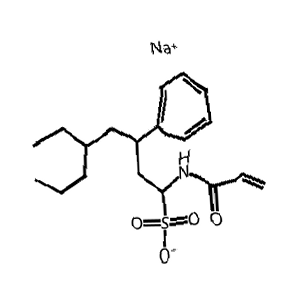 C=CC(=O)NC(CC(CC(CC)CCC)c1ccccc1)S(=O)(=O)[O-].[Na+]